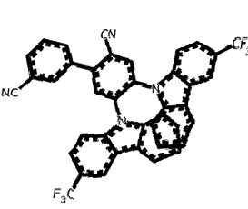 N#Cc1cccc(-c2cc(-n3c4ccccc4c4cc(C(F)(F)F)ccc43)c(-n3c4ccccc4c4cc(C(F)(F)F)ccc43)cc2C#N)c1